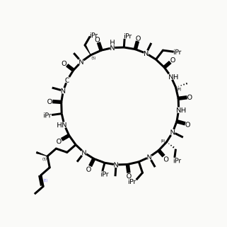 C/C=C/C[C@@H](C)CCC1C(=O)NC(C(C)C)C(=O)N(C)CC(=O)N(C)[C@@H](CC(C)C)C(=O)NC(C(C)C)C(=O)N(C)C(CC(C)C)C(=O)N[C@H](C)C(=O)NC(=O)N(C)[C@H](CC(C)C)C(=O)N(C)C(CC(C)C)C(=O)N(C)C(C(C)C)C(=O)N1C